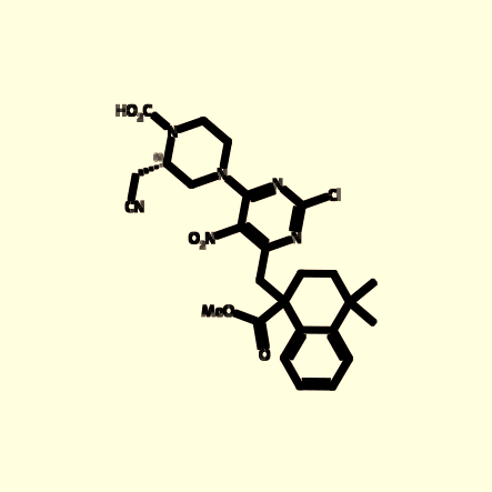 COC(=O)C1(Cc2nc(Cl)nc(N3CCN(C(=O)O)[C@@H](CC#N)C3)c2[N+](=O)[O-])CCC(C)(C)c2ccccc21